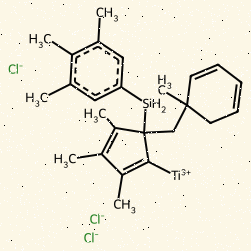 CC1=C(C)C(CC2(C)C=CC=CC2)([SiH2]c2cc(C)c(C)c(C)c2)[C]([Ti+3])=C1C.[Cl-].[Cl-].[Cl-]